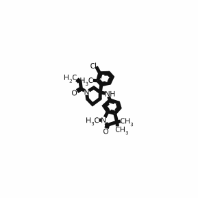 C=CC(=O)N1CCCC(Nc2ccc3c(c2)N(C)C(=O)C3(C)C)(c2cccc(Cl)c2C)C1